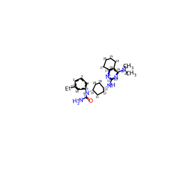 CCc1cccc(N(C(N)=O)[C@H]2CC[C@@H](Nc3nc4c(c(N(C)C)n3)CCCC4)CC2)c1